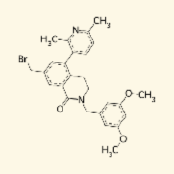 COc1cc(CN2CCc3c(cc(CBr)cc3-c3ccc(C)nc3C)C2=O)cc(OC)c1